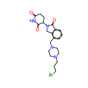 O=C1CCC(N2Cc3c(CN4CCN(CCCBr)CC4)cccc3C2=O)C(=O)N1